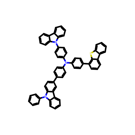 c1ccc(-n2c3ccccc3c3cc(-c4ccc(N(c5ccc(-c6cccc7c6sc6ccccc67)cc5)c5ccc(-n6c7ccccc7c7ccccc76)cc5)cc4)ccc32)cc1